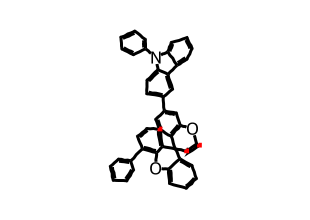 c1ccc(-c2cccc3c2Oc2ccccc2C32c3ccccc3Oc3cc(-c4ccc5c(c4)c4ccccc4n5-c4ccccc4)ccc32)cc1